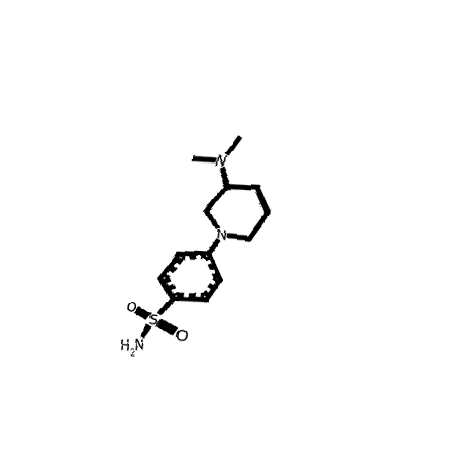 CN(C)C1CCCN(c2ccc(S(N)(=O)=O)cc2)C1